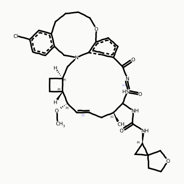 CO[C@H]1/C=C/C[C@H](C)C(NC(=O)N[C@@H]2CC23CCOC3)/[SH](=O)=N\C(=O)c2ccc3c(c2)N(Cc2ccc(Cl)cc2CCCCO3)C[C@@H]2CC[C@H]21